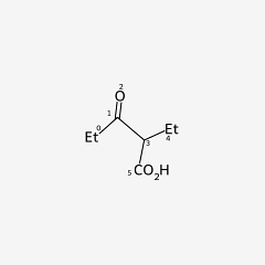 CCC(=O)C(CC)C(=O)O